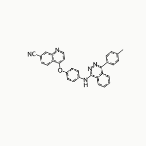 Cc1ccc(-c2nnc(Nc3ccc(Oc4ccnc5cc(C#N)ccc45)cc3)c3ccccc23)cc1